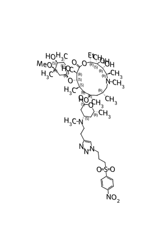 CC[C@H]1OC(=O)[C@H](C)[C@@H](O[C@H]2C[C@@](C)(OC)[C@@H](O)[C@H](C)O2)[C@H](C)[C@@H](O[C@H]2C[C@@H](N(C)CCc3cn(CCCS(=O)(=O)c4ccc([N+](=O)[O-])cc4)nn3)C[C@@H](C)O2)[C@](C)(O)C[C@@H](C)CN(C)[C@H](C)[C@@H](O)[C@]1(C)O